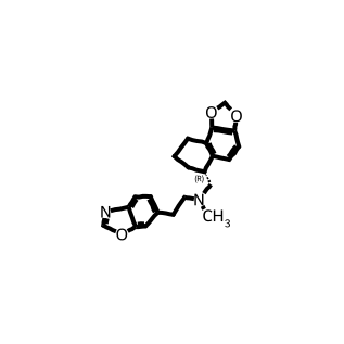 CN(CCc1ccc2ncoc2c1)C[C@@H]1CCCc2c1ccc1c2OCO1